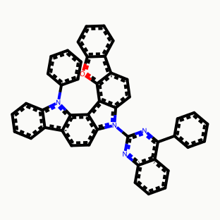 c1ccc(-c2nc(-n3c4ccc5c6ccccc6oc5c4c4c3ccc3c5ccccc5n(-c5ccccc5)c34)nc3ccccc23)cc1